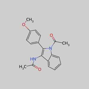 COc1ccc(-c2c(NC(C)=O)c3ccccc3n2C(C)=O)cc1